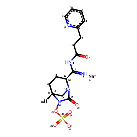 N=C(NC(=O)CCc1ccccn1)[C@@H]1CC[C@@H]2CN1C(=O)N2OS(=O)(=O)[O-].[Na+]